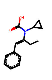 CC/C(=C\c1ccccc1)N(C(=O)O)C1CC1